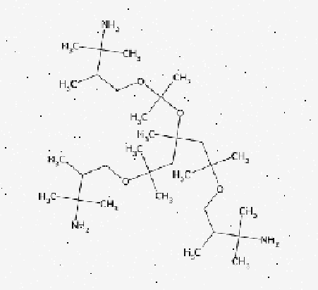 CC(COC(C)(C)CC(C)(CC(C)(C)OCC(C)C(C)(C)N)OC(C)(C)OCC(C)C(C)(C)N)C(C)(C)N